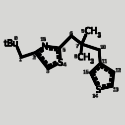 CC(C)(C)Cc1csc(CC(C)(C)Cc2ccsc2)n1